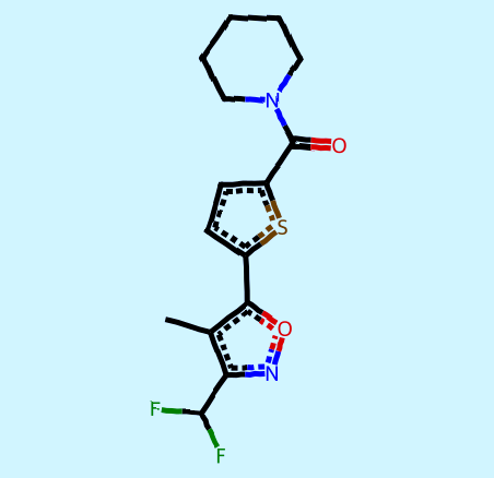 Cc1c(C(F)F)noc1-c1ccc(C(=O)N2CCCCC2)s1